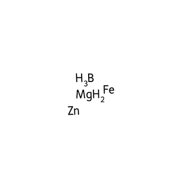 B.[Fe].[MgH2].[Zn]